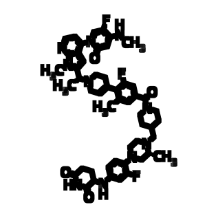 CNc1cc(=O)n(-c2ccnc3c2cc([C@H](C)N2CC=C(c4c(C)cc(C(=O)N5CCC(CN6CCN(c7ccc(NC8CCC(=O)NC8=O)cc7F)C[C@H]6C)CC5)cc4F)CC2)n3C)cc1F